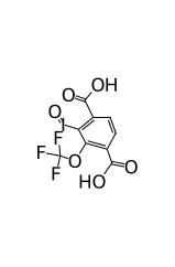 O=Ic1c(C(=O)O)ccc(C(=O)O)c1OC(F)(F)F